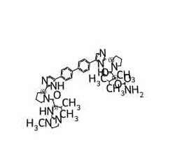 CC(C)[C@H](NC1=NCCN1C)C(=O)N1CCC[C@H]1c1ncc(-c2ccc(-c3ccc(-c4cnc([C@@H]5CCCN5C(=O)[C@@](C)(OC(N)=O)C(C)C)[nH]4)cc3)cc2)[nH]1